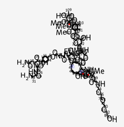 CCN(C(=O)CNC(=O)OCc1ccc(NC(=O)[C@H](CC(N)=O)NC(=O)[C@H](C)NC(=O)[C@H](C)N)cc1)C1COC(OC2C(O[C@H]3C#C/C=C\C#C[C@]4(O)CC(=O)C(NC(=O)OC)=C3/C4=C\CSSC(C)(C)CC(=O)NCCOCCOCCOCCO)OC(C)C(NOC3CC(O)C(SC(=O)c4c(C)c(I)c(OC5OC(C)C(O)C(OC)C5O)c(OC)c4OC)C(C)O3)C2O)CC1OC